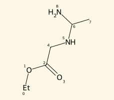 CCOC(=O)CNC(C)N